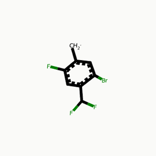 [CH2]c1cc(Br)c(C(F)F)cc1F